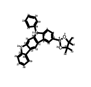 CC1(C)OB(c2ccc3c(c2)c2cc4c(cc2n3-c2ccccc2)sc2ccccc24)OC1(C)C